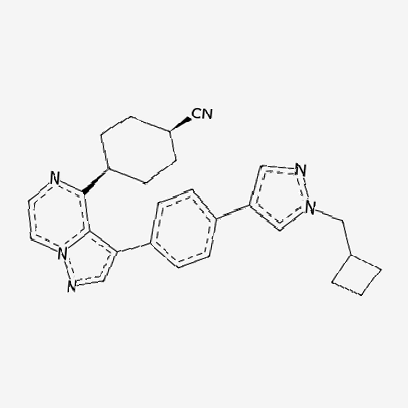 N#C[C@H]1CC[C@@H](c2nccn3ncc(-c4ccc(-c5cnn(CC6CCC6)c5)cc4)c23)CC1